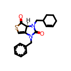 O=C1SC=C2[C@@H]1N(CC1C=CCCC1)C(=O)N2Cc1ccccc1